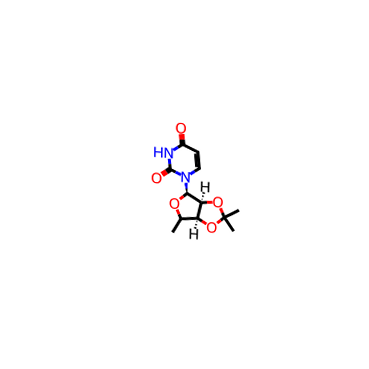 CC1O[C@@H](n2ccc(=O)[nH]c2=O)[C@H]2OC(C)(C)O[C@@H]12